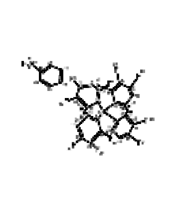 Fc1cc(F)c([B-](c2c(F)cc(F)c(F)c2F)(c2c(F)cc(F)c(F)c2F)c2c(F)cc(F)c(F)c2F)c(F)c1F.[NH3+]c1ccccc1